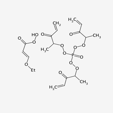 C=CC(=O)C(C)OOP(=O)(OOC(C)C(=O)C=C)OOC(C)C(=O)C=C.CCOC=CC(=O)OO